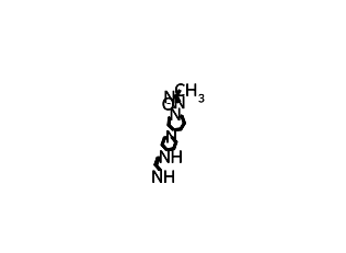 Cc1noc(N2CCCC(N3CCC(N/C=C\C=N)CC3)CC2)n1